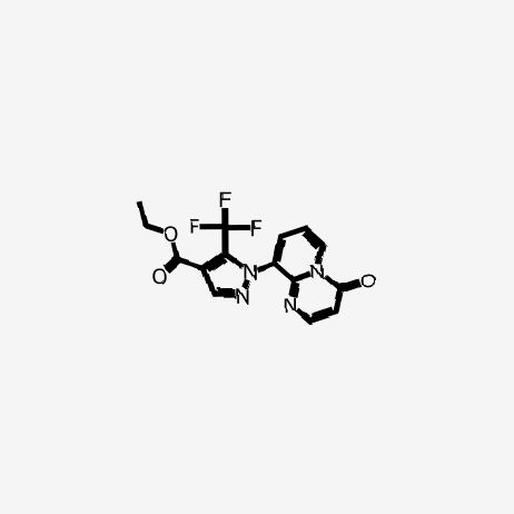 CCOC(=O)c1cnn(-c2cccn3c(=O)ccnc23)c1C(F)(F)F